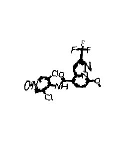 COc1ccc(C(=O)Nc2c(Cl)c[n+]([O-])cc2Cl)c2cc(C(F)(F)F)nn12